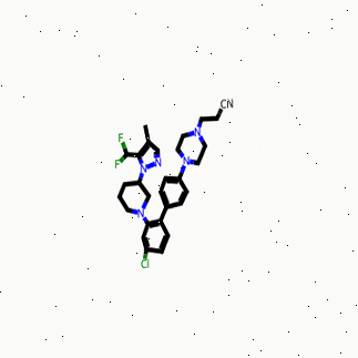 Cc1cnn(C2CCCN(c3cc(Cl)ccc3-c3ccc(N4CCN(CCC#N)CC4)cc3)C2)c1C(F)F